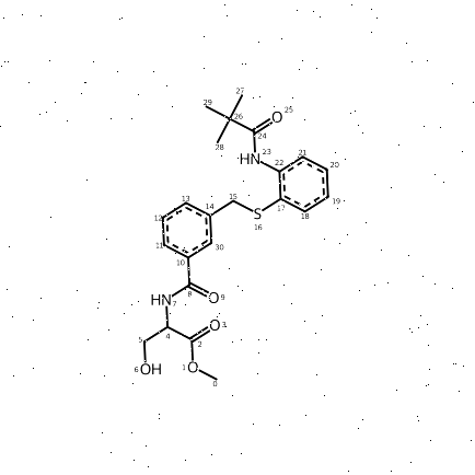 COC(=O)C(CO)NC(=O)c1cccc(CSc2ccccc2NC(=O)C(C)(C)C)c1